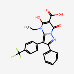 CCn1c(O)c(C(=O)O)c(=O)n2nc(-c3ccccc3)c(-c3ccc(C(F)(F)F)cc3)c12